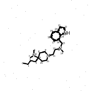 CCCCC1(N(C)C)CCN(CCN(C)Cc2cccc3cc[nH]c23)CC1